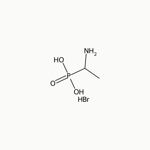 Br.CC(N)P(=O)(O)O